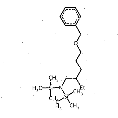 CCC(CCCOCc1ccccc1)CN([Si](C)(C)C)[Si](C)(C)C